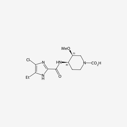 CCc1[nH]c(C(=O)N[C@@H]2CCN(C(=O)O)C[C@@H]2OC)nc1Cl